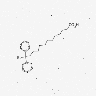 CCC(CCCCCCCCCCCC(=O)O)(c1ccccc1)c1ccccc1